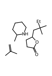 C=C(C)C.CC1CCCCN1.CCC(C)(C)CC1CCC(=O)O1